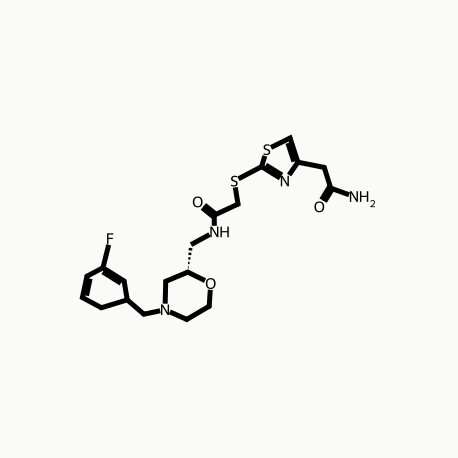 NC(=O)Cc1csc(SCC(=O)NC[C@H]2CN(CC3C=C(F)C=CC3)CCO2)n1